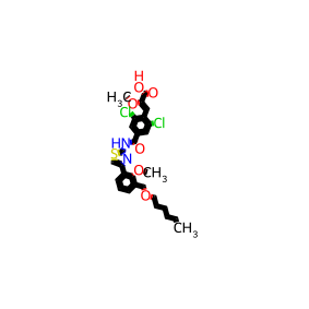 CCCCCCOCc1cccc(-c2csc(NC(=O)c3cc(Cl)c(C=C(OC)C(=O)O)c(Cl)c3)n2)c1OC